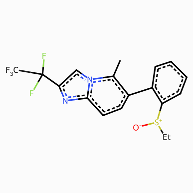 CC[S+]([O-])c1ccccc1-c1ccc2nc(C(F)(F)C(F)(F)F)cn2c1C